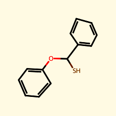 S[C](Oc1ccccc1)c1ccccc1